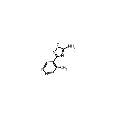 Cc1cnncc1-c1n[nH]c(N)n1